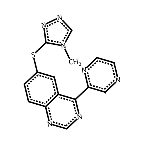 Cn1cnnc1Sc1ccc2ncnc(-c3[c]nccn3)c2c1